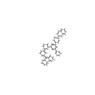 c1ccc(-c2nc(-c3ccc(-c4ccc5ccccc5c4)cc3)nc(-c3cccc(-c4cccc(-n5c6ccccc6c6ccccc65)c4)c3)n2)cc1